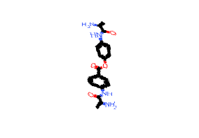 C=C(N)C(=O)Nc1ccc(OC(=O)c2ccc(NC(=O)C(=C)N)cc2)cc1